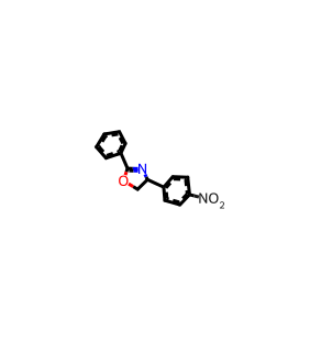 O=[N+]([O-])c1ccc(C2COC(c3ccccc3)=N2)cc1